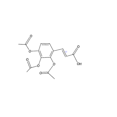 CC(=O)Oc1ccc(/C=C/C(=O)O)c(OC(C)=O)c1OC(C)=O